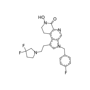 O=C1c2ncc3c(c(CCN4CCC(F)(F)C4)cn3Cc3ccc(F)cc3)c2CCN1O